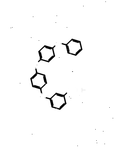 O=C(O)c1cccc(Oc2ccc(Oc3ccc(Oc4ccccc4)cc3)cc2)c1